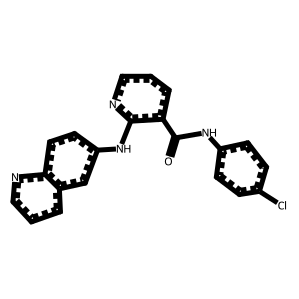 O=C(Nc1ccc(Cl)cc1)c1cccnc1Nc1ccc2ncccc2c1